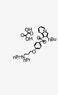 CCCCc1cn2ccccc2c1S(=O)(=O)c1ccc(OCCCN(CCC)CCC)cc1.O=C(O)C(=O)O